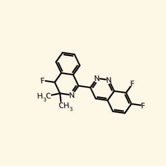 CC1(C)N=C(c2cc3ccc(F)c(F)c3nn2)c2ccccc2C1F